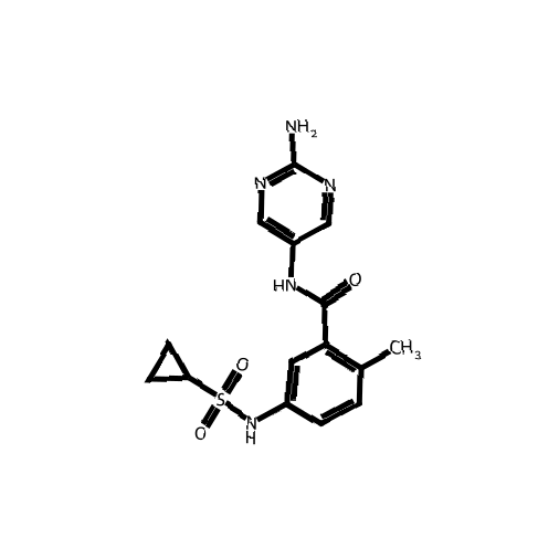 Cc1ccc(NS(=O)(=O)C2CC2)cc1C(=O)Nc1cnc(N)nc1